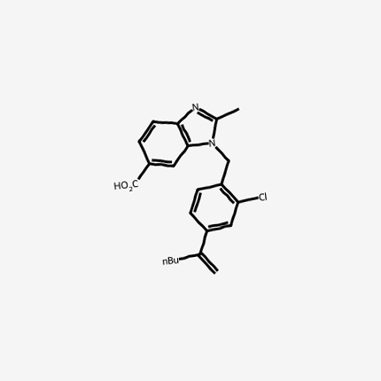 C=C(CCCC)c1ccc(Cn2c(C)nc3ccc(C(=O)O)cc32)c(Cl)c1